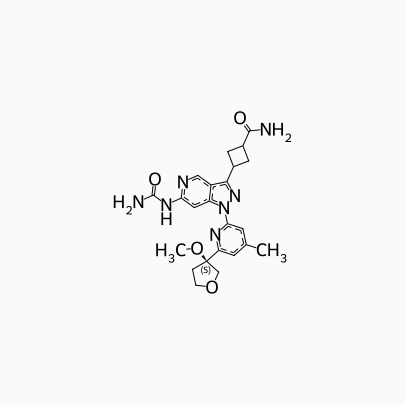 CO[C@]1(c2cc(C)cc(-n3nc(C4CC(C(N)=O)C4)c4cnc(NC(N)=O)cc43)n2)CCOC1